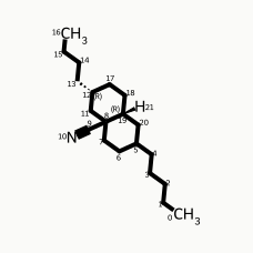 CCCCCC1CCC2(C#N)C[C@H](CCCC)CC[C@@H]2C1